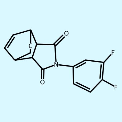 O=C1C2C3C=CC(CC3)C2C(=O)N1c1ccc(F)c(F)c1